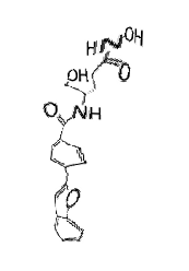 O=C(CC[C@@H](CO)NC(=O)c1ccc(-c2cc3ccccc3o2)cc1)NO